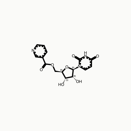 O=C(OC[C@H]1O[C@@H](n2ccc(=O)[nH]c2=O)[C@H](O)[C@@H]1O)c1cccnc1